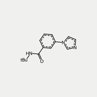 CC(C)(C)NC(=O)c1cccc(-n2ccnc2)c1